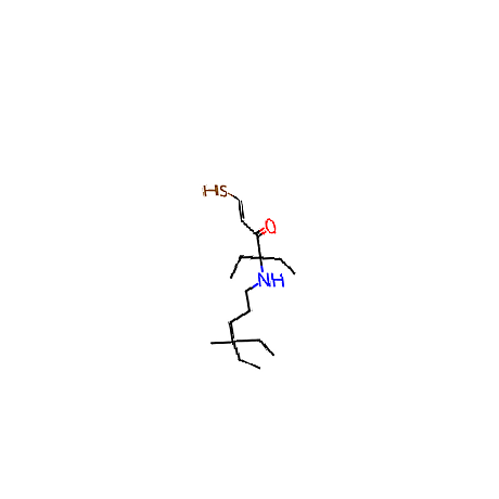 CCC(C)(CC)CCCNC(CC)(CC)C(=O)/C=C/S